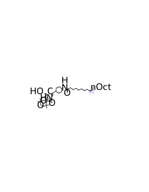 CCCCCCCC/C=C\CCCCCCCC(=O)NC1CCC(C(CNC(=O)C2OC(C)(C)OCC2(C)C)C(=O)O)CC1